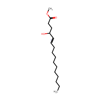 CCCCCCCCCC/C=C/C(O)CCC(=O)OC